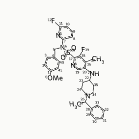 COc1ccc(CN(c2cccc(F)n2)S(=O)(=O)c2ncc(NC3CCN(C(C)c4ccccc4)CC3)c(C)c2F)cc1